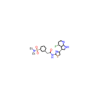 CCN(CC)S(=O)(=O)c1cccc(CC(=O)Nc2nc(-c3c[nH]c4nccc(F)c34)cs2)c1